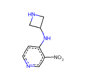 O=[N+]([O-])c1cnccc1NC1CNC1